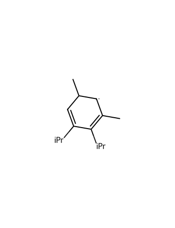 CC1=C(C(C)C)C(C(C)C)=CC(C)[CH]1